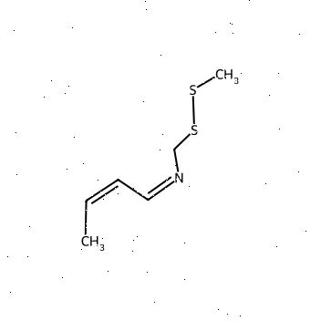 C/C=C\C=N/CSSC